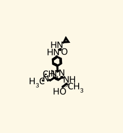 C[C@@H](CO)Nc1cc(CN(C)C)nc(-c2ccc(NC(=O)NC3CC3)cc2)n1